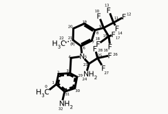 Cc1cc(CN(C2=CC(C(F)(C(F)(F)F)C(F)(F)F)=CC[C@H]2C)C(N)C(F)(F)F)ccc1N